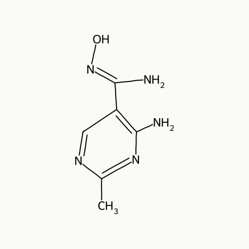 Cc1ncc(C(N)=NO)c(N)n1